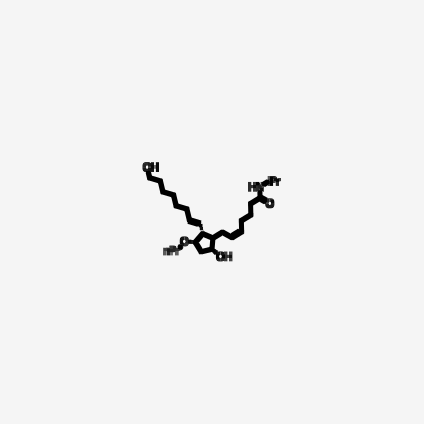 CCCO[C@@H]1C[C@H](O)C(C/C=C\CCCC(=O)NC(C)C)[C@H]1/C=C/CCCCCCO